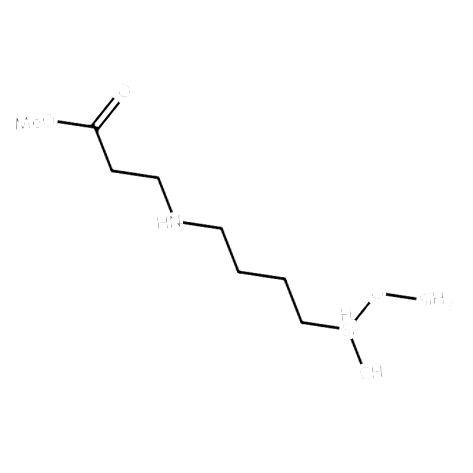 COC(=O)CCNCCCC[SiH](C)O[SiH3]